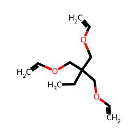 C=COCC(CC)(COC=C)COC=C